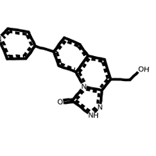 O=c1[nH]nc2c(CO)cc3ccc(-c4ccncc4)cc3n12